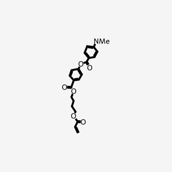 C=CC(=O)OCCCCOC(=O)c1ccc(OC(=O)c2ccc(NC)cc2)cc1